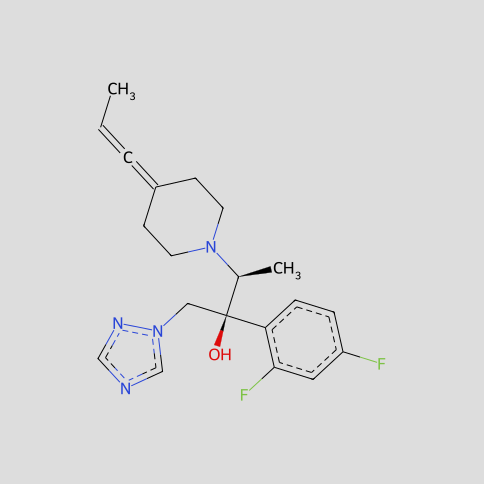 CC=C=C1CCN([C@@H](C)[C@@](O)(Cn2cncn2)c2ccc(F)cc2F)CC1